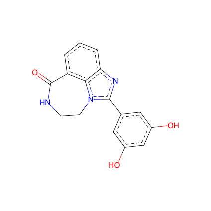 O=C1NCCn2c(-c3cc(O)cc(O)c3)nc3cccc1c32